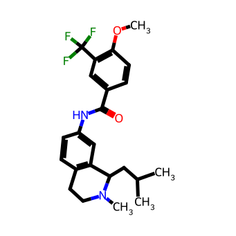 COc1ccc(C(=O)Nc2ccc3c(c2)C(CC(C)C)N(C)CC3)cc1C(F)(F)F